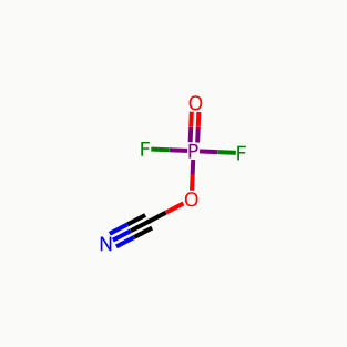 N#COP(=O)(F)F